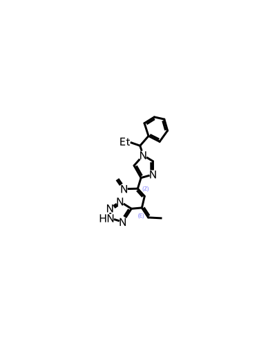 C=N/C(=C\C(=C/C)c1nn[nH]n1)c1cn(C(CC)c2ccccc2)cn1